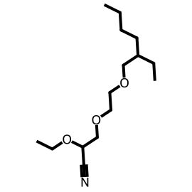 CCCCC(CC)COCCOCC(C#N)OCC